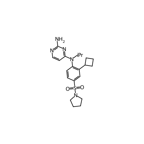 CC(C)N(c1ccnc(N)n1)c1ccc(S(=O)(=O)N2CCCC2)cc1C1CCC1